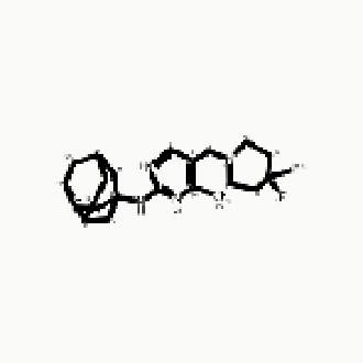 FC1(F)CCN(Cc2cnc(NC34CCC5CC(CC(C5)C3)C4)nc2C(F)(F)F)CC1